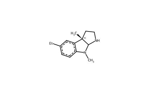 CCc1ccc2c(c1)[C@]1(C)CCNC1N2C